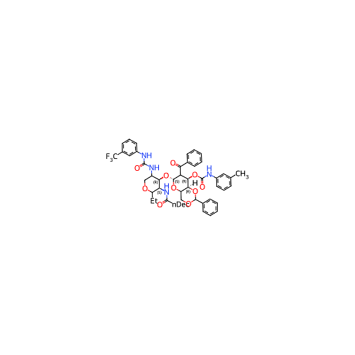 CCCCCCCCCCC(=O)N[C@H]1C(CC)OCC(NC(=O)Nc2cccc(C(F)(F)F)c2)[C@H]1O[C@H]1OC2COC(c3ccccc3)O[C@@H]2[C@H](OC(=O)Nc2cccc(C)c2)C1C(=O)c1ccccc1